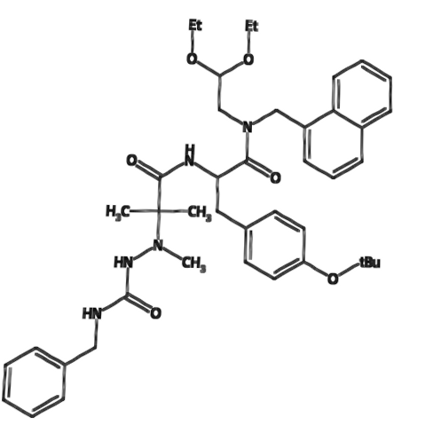 CCOC(CN(Cc1cccc2ccccc12)C(=O)C(Cc1ccc(OC(C)(C)C)cc1)NC(=O)C(C)(C)N(C)NC(=O)NCc1ccccc1)OCC